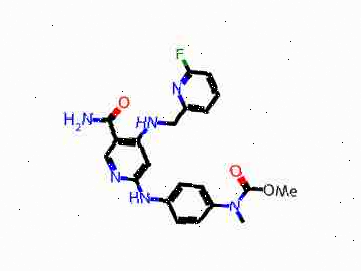 COC(=O)N(C)c1ccc(Nc2cc(NCc3cccc(F)n3)c(C(N)=O)cn2)cc1